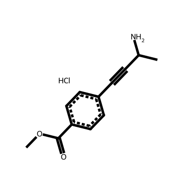 COC(=O)c1ccc(C#CC(C)N)cc1.Cl